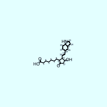 O=C(O)CCCCCCC1C(=O)CC(O)C1C=Cc1ccc2[nH]ccc2c1